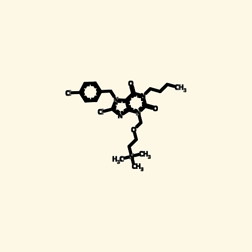 CCCCn1c(=O)c2c(nc(Cl)n2Cc2ccc(Cl)cc2)n(COCC[Si](C)(C)C)c1=O